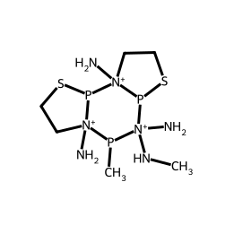 CN[N+]1(N)P(C)[N+]2(N)CCSP2[N+]2(N)CCSP21